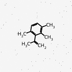 [CH2]c1ccc(C)c(C)c1C(=C)C